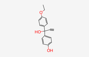 C#CC(O)(c1ccc(O)cc1)c1ccc(OCC)cc1